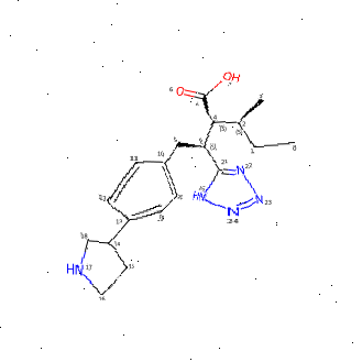 CC[C@H](C)[C@H](C(=O)O)[C@H](Cc1ccc(C2CCNC2)cc1)c1nnn[nH]1